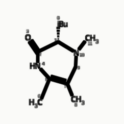 CCC(C)[C@H]1C(=O)NC(C)=C(C)CN1C